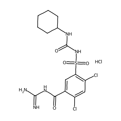 Cl.N=C(N)NC(=O)c1cc(S(=O)(=O)NC(=O)NC2CCCCC2)c(Cl)cc1Cl